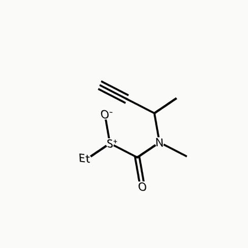 C#CC(C)N(C)C(=O)[S+]([O-])CC